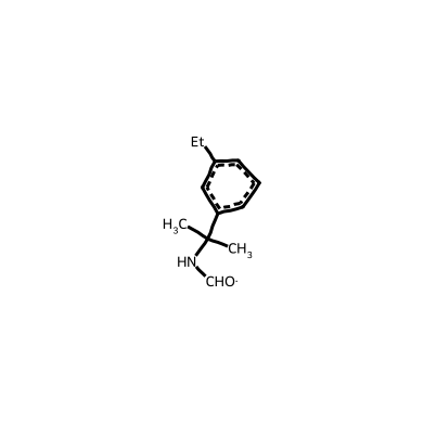 CCc1cccc(C(C)(C)N[C]=O)c1